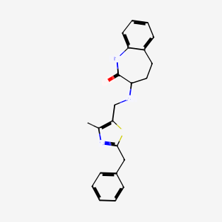 CCOC(=O)c1nc(Cc2ccccc2)sc1CNC1CCc2ccccc2NC1=O